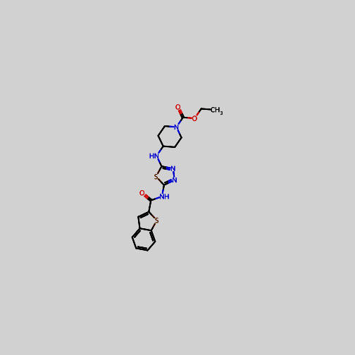 CCOC(=O)N1CCC(Nc2nnc(NC(=O)c3cc4ccccc4s3)s2)CC1